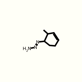 CC1C=CCCC1N=NN